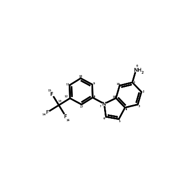 Nc1ccc2ccn(-c3cccc(C(F)(F)F)c3)c2c1